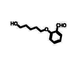 O=Cc1ccccc1OCCCCCO